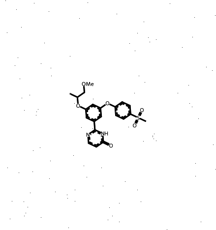 COCC(C)Oc1cc(Oc2ccc(S(C)(=O)=O)cc2)cc(-c2nccc(=O)[nH]2)c1